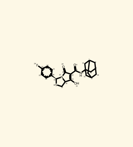 O=C(NC12CC3CC(CC(C3)C1)C2)C1=C(O)C2CS[C@@H](c3ccc(F)cc3)N2C1=O